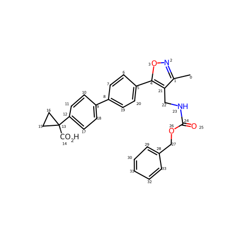 Cc1noc(-c2ccc(-c3ccc(C4(C(=O)O)CC4)cc3)cc2)c1CNC(=O)OCc1ccccc1